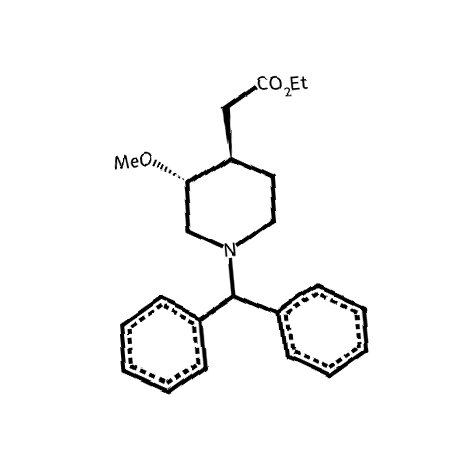 CCOC(=O)C[C@H]1CCN(C(c2ccccc2)c2ccccc2)C[C@@H]1OC